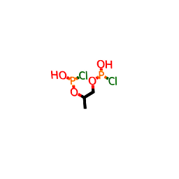 CC(COP(O)Cl)OP(O)Cl